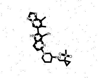 Cc1c(-c2[nH]c3ccc(N4CCCC(NCC5(S(C)(=O)=O)CC5)C4)nc3c2C(C)C)cn2ncnc2c1C